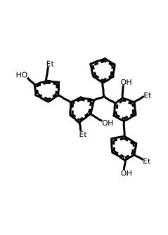 CCc1cc(-c2cc(CC)c(O)c(C(c3ccccc3)c3cc(-c4ccc(O)c(CC)c4)cc(CC)c3O)c2)ccc1O